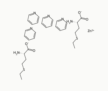 CCSCC[C@H](N)C(=O)[O-].CCSCC[C@H](N)C(=O)[O-].[Zn+2].c1ccncc1.c1ccncc1.c1ccncc1.c1ccncc1